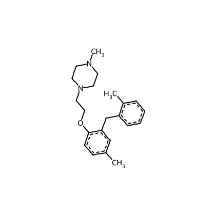 Cc1ccc(OCCN2CCN(C)CC2)c(Cc2ccccc2C)c1